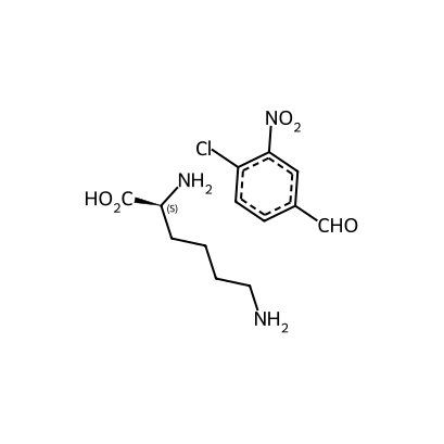 NCCCC[C@H](N)C(=O)O.O=Cc1ccc(Cl)c([N+](=O)[O-])c1